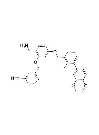 Cc1c(COc2ccc(CN)c(OCc3cc(C#N)ccn3)c2)cccc1-c1ccc2c(c1)OCCO2